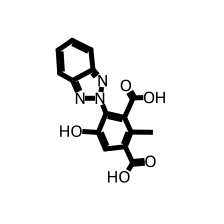 Cc1c(C(=O)O)cc(O)c(-n2nc3ccccc3n2)c1C(=O)O